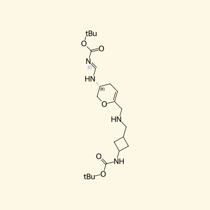 CC(C)(C)OC(=O)/N=C/N[C@@H]1CC=C(CNCC2CC(NC(=O)OC(C)(C)C)C2)OC1